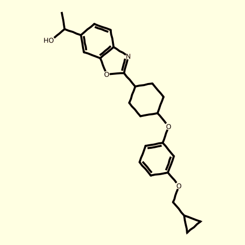 CC(O)c1ccc2nc(C3CCC(Oc4cccc(OCC5CC5)c4)CC3)oc2c1